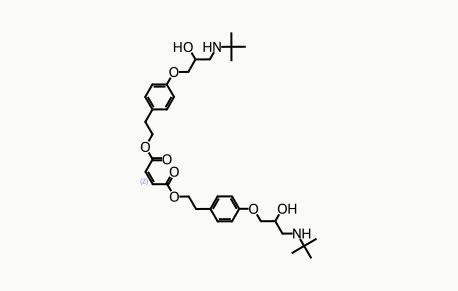 CC(C)(C)NCC(O)COc1ccc(CCOC(=O)/C=C\C(=O)OCCc2ccc(OCC(O)CNC(C)(C)C)cc2)cc1